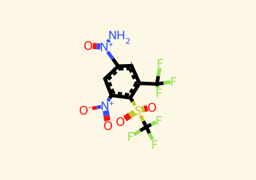 N[N+](=O)c1[c]c(C(F)(F)F)c(S(=O)(=O)C(F)(F)F)c([N+](=O)[O-])c1